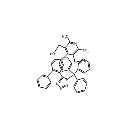 COc1c(C)nc(C)c(CO)c1-c1ccc(-c2ccccc2)c(-c2nnnn2C(c2ccccc2)(c2ccccc2)c2ccccc2)c1